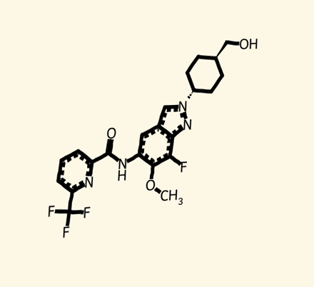 COc1c(NC(=O)c2cccc(C(F)(F)F)n2)cc2cn([C@H]3CC[C@H](CO)CC3)nc2c1F